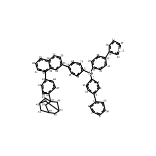 c1ccc(-c2ccc(N(c3ccc(-c4ccccc4)cc3)c3ccc(-c4ccc5cccc(-c6ccc(C78CC9CC(CC(C9)C7)C8)cc6)c5c4)cc3)cc2)cc1